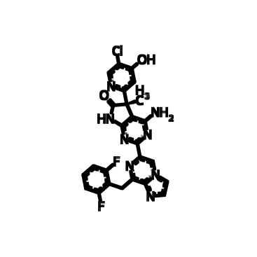 C[C@]1(c2cc(O)c(Cl)cn2)C(=O)Nc2nc(-c3cn4ccnc4c(Cc4c(F)cccc4F)n3)nc(N)c21